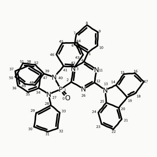 O=P(c1nc(-c2ccccc2)nc(-n2c3ccccc3c3ccccc32)n1)(N(c1ccccc1)c1ccccc1)N(c1ccccc1)c1ccccc1